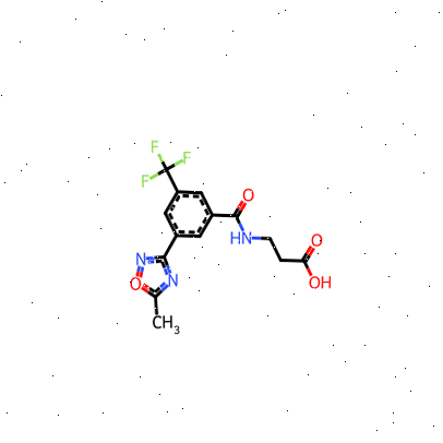 Cc1nc(-c2cc(C(=O)NCCC(=O)O)cc(C(F)(F)F)c2)no1